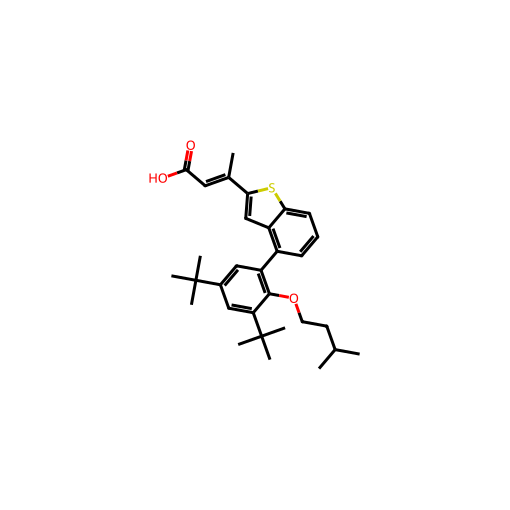 CC(=CC(=O)O)c1cc2c(-c3cc(C(C)(C)C)cc(C(C)(C)C)c3OCCC(C)C)cccc2s1